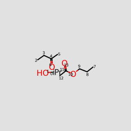 CC(C)O.CCC(C)=O.CCCOC(C)=O